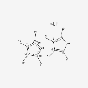 CC1=C(C)C(C)=C(C)C1.Cc1c[c-](C)c(C)c1C.[Li+]